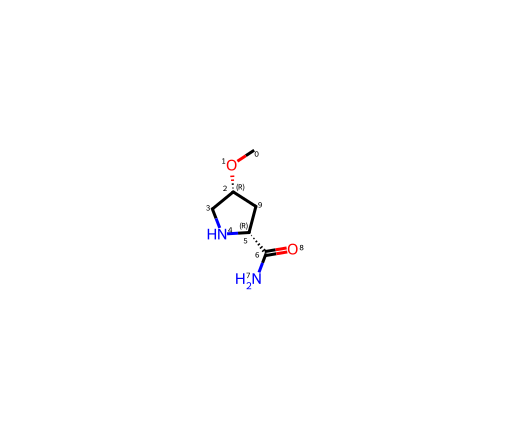 CO[C@H]1CN[C@@H](C(N)=O)C1